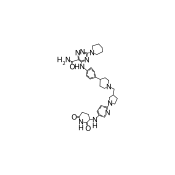 NC(=O)c1nnc(N2CCCCC2)nc1Nc1ccc(C2CCN(CC3CCN(c4ccc(NC5CCC(=O)NC5=O)cn4)C3)CC2)cc1